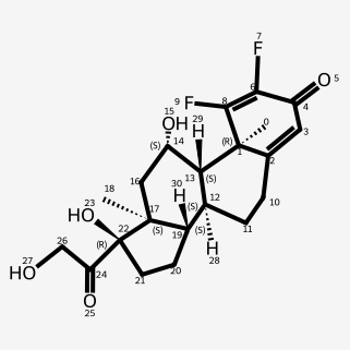 C[C@@]12C(=CC(=O)C(F)=C1F)CC[C@@H]1[C@@H]2[C@@H](O)C[C@@]2(C)[C@H]1CC[C@]2(O)C(=O)CO